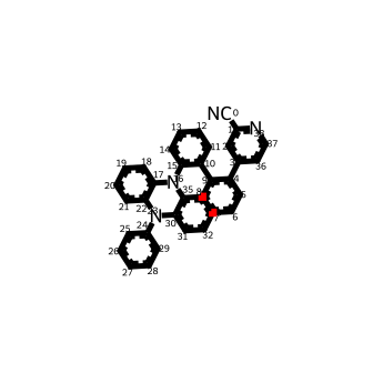 N#Cc1cc(-c2ccccc2-c2ccccc2N2c3ccccc3N(c3ccccc3)c3ccccc32)ccn1